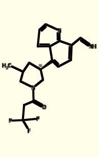 CC1C[C@@H](c2ccc(C=N)c3ncccc23)CN(C(=O)CC(F)(F)F)C1